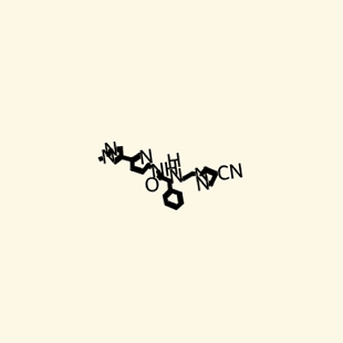 Cn1cc(-c2ccc(NC(=O)[C@@H](NCCn3cc(C#N)cn3)c3ccccc3)nc2)cn1